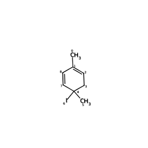 CC1=CCC(C)(I)C=C1